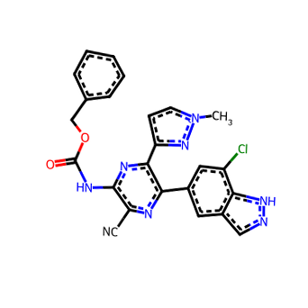 Cn1ccc(-c2nc(NC(=O)OCc3ccccc3)c(C#N)nc2-c2cc(Cl)c3[nH]ncc3c2)n1